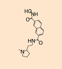 CN1CCCC1CCNC(=O)c1ccc2ccc(C(=O)NO)cc2c1